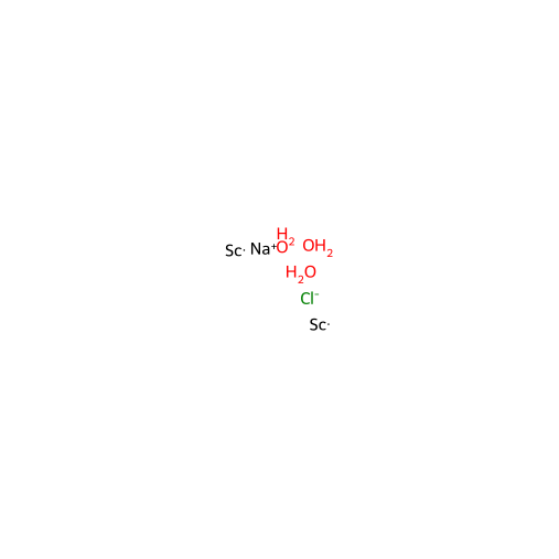 O.O.O.[Cl-].[Na+].[Sc].[Sc]